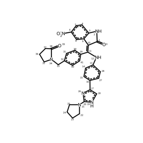 O=C1Nc2ccc([N+](=O)[O-])cc2C1=C(Nc1ccc(-c2c[nH]c(N3CCCC3)n2)cc1)c1ccc(CN2CCCC2=O)cc1